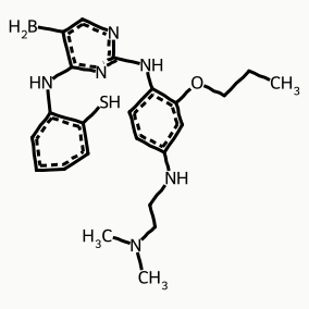 Bc1cnc(Nc2ccc(NCCN(C)C)cc2OCCC)nc1Nc1ccccc1S